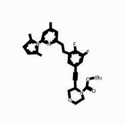 Cc1cc(CCc2cc(C#CC3COCCN3C(=O)OC(C)(C)C)cc(F)c2F)nc(-n2c(C)ccc2C)c1